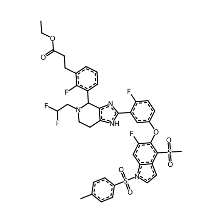 CCOC(=O)CCc1cccc(C2c3nc(-c4cc(Oc5c(F)cc6c(ccn6S(=O)(=O)c6ccc(C)cc6)c5S(C)(=O)=O)ccc4F)[nH]c3CCN2CC(F)F)c1F